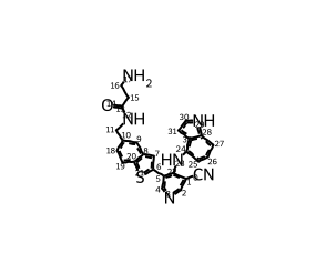 N#Cc1cncc(-c2cc3cc(CNC(=O)CCN)ccc3s2)c1Nc1cccc2[nH]ccc12